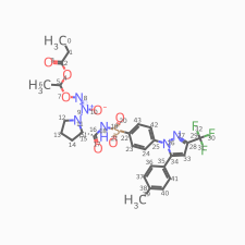 CCC(=O)OC(C)O/N=[N+](/[O-])N1CCC[C@H]1C(=O)NS(=O)(=O)c1ccc(-n2nc(C(F)(F)F)cc2-c2ccc(C)cc2)cc1